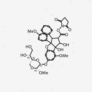 COc1ccc(C23Oc4cc(O[C@@H]5O[C@@H]([C@H](O)CO)CO[C@H]5OC)cc(OC)c4C2(O)C(O)C(C(=O)ON2C(=O)CCC2=O)C3c2ccccc2)cc1